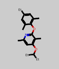 CCc1cc(C)c(Oc2nc(C)cc(OC(CC)CC)c2C)c(C)c1